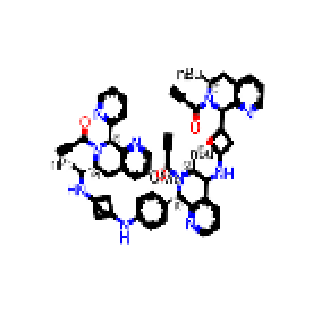 C#CC(=O)N1C(C23CC(NC4c5cccnc5[C@H](c5ccc(NC67CC(NC(CCC)[C@H]8Cc9cc(OC)cnc9[C@H](c9ccccn9)N8C(=O)C#C)(C6)C7)cc5)N(C(=O)C#C)[C@H]4CCCC)(C2)C3)c2ncccc2C[C@@H]1CCCC